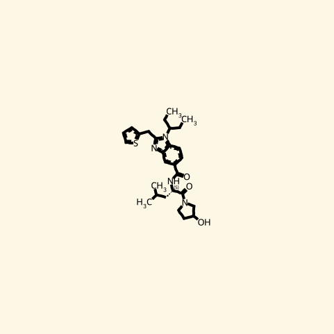 CCC(CC)n1c(Cc2cccs2)nc2cc(C(=O)N[C@@H](CC(C)C)C(=O)N3CCC(O)C3)ccc21